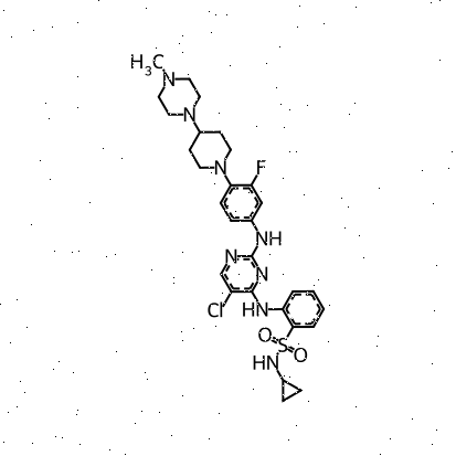 CN1CCN(C2CCN(c3ccc(Nc4ncc(Cl)c(Nc5ccccc5S(=O)(=O)NC5CC5)n4)cc3F)CC2)CC1